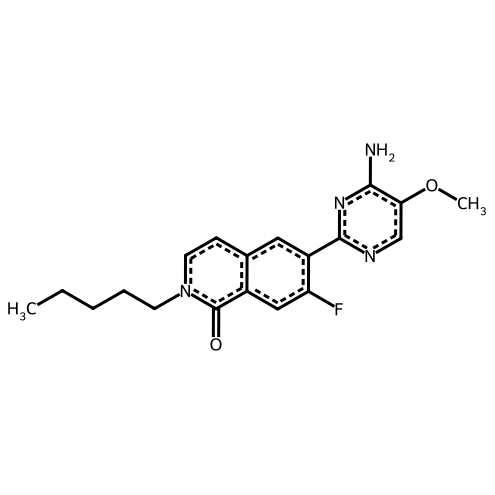 CCCCCn1ccc2cc(-c3ncc(OC)c(N)n3)c(F)cc2c1=O